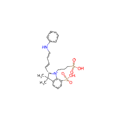 CC1(C)C(/C=C/C=C/Nc2ccccc2)=[N+](CCCS(=O)(=O)O)c2c1cccc2S(=O)(=O)O